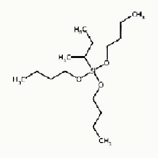 CCCCO[Si](OCCCC)(OCCCC)C(C)CC